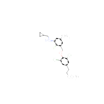 Cc1cc(COc2c(Cl)cc(CCC(=O)O)cc2Cl)c(F)c(NCC2CC2)c1